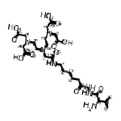 CC(C)[C@@H](N)C(=O)NNC(=O)CCCCCNC(=O)CN(CCN(CC(=O)O)CC(=O)O)CCN(CC(=O)O)CC(=O)O